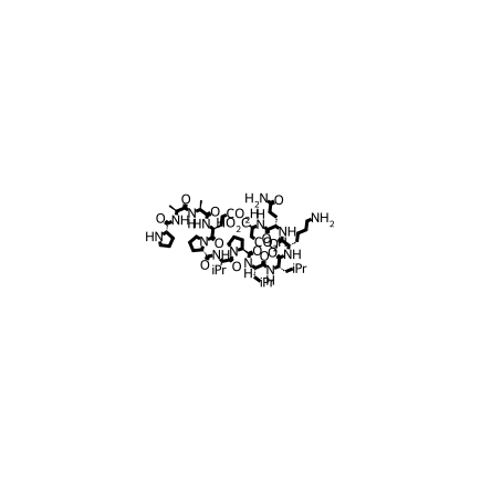 CC(C)C[C@H](NC(=O)[C@H](CC(C)C)NC(=O)[C@@H]1CCCN1C(=O)[C@@H](NC(=O)[C@@H]1CCCN1C(=O)[C@H](CCC(=O)O)NC(=O)[C@H](C)NC(=O)[C@H](C)NC(=O)[C@@H]1CCCN1)C(C)C)C(=O)N[C@@H](CCCCN)C(=O)N[C@@H](CCC(N)=O)C(=O)N[C@@H](CC(=O)O)C(=O)O